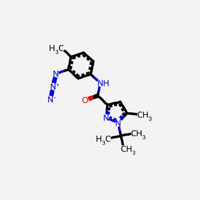 Cc1ccc(NC(=O)c2cc(C)n(C(C)(C)C)n2)cc1N=[N+]=[N-]